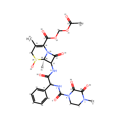 CCN1CCN(C(=O)NC(C(=O)NC2C(=O)N3C(C(=O)OCOC(=O)C(C)(C)C)=C(C)C[S+]([O-])[C@H]23)c2ccccc2)C(=O)C1=O